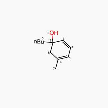 CCCCC1(O)C=CC=C(C)C1